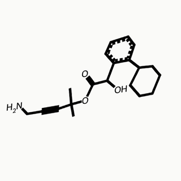 CC(C)(C#CCN)OC(=O)C(O)c1ccccc1C1CCCCC1